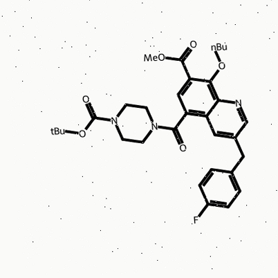 CCCCOc1c(C(=O)OC)cc(C(=O)N2CCN(C(=O)OC(C)(C)C)CC2)c2cc(Cc3ccc(F)cc3)cnc12